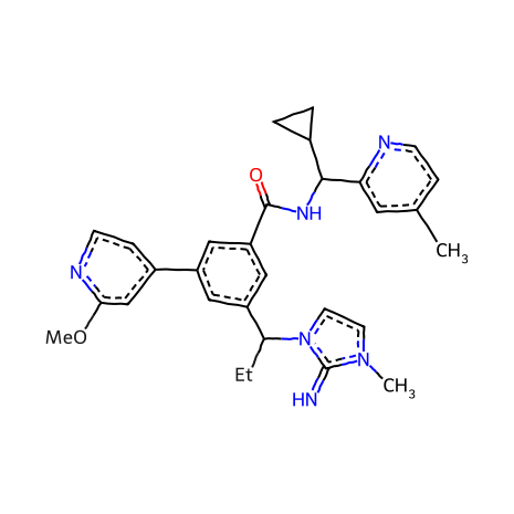 CCC(c1cc(C(=O)NC(c2cc(C)ccn2)C2CC2)cc(-c2ccnc(OC)c2)c1)n1ccn(C)c1=N